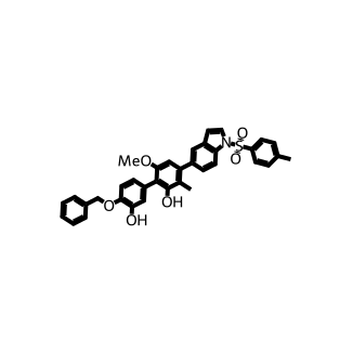 COc1cc(-c2ccc3c(ccn3S(=O)(=O)c3ccc(C)cc3)c2)c(C)c(O)c1-c1ccc(OCc2ccccc2)c(O)c1